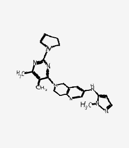 Cc1nc(N2CCCC2)nc(N2CCc3ncc(Nc4ccnn4C)cc3C2)c1C